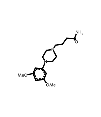 COc1cc(OC)cc(N2CCN(CCCC(N)=O)CC2)c1